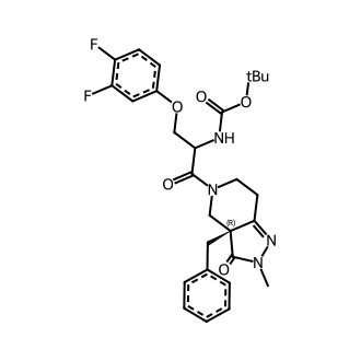 CN1N=C2CCN(C(=O)C(COc3ccc(F)c(F)c3)NC(=O)OC(C)(C)C)C[C@@]2(Cc2ccccc2)C1=O